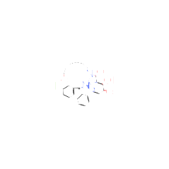 O=C1c2c(O)c(=O)ccn2N2CN1CCCCCCOc1c(F)cccc1[C@H]2c1ccccc1